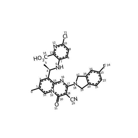 Cc1cc([C@@H](C)Nc2ccc(Cl)nc2C(=O)O)c2nc(N3Cc4ccc(F)cc4C3)c(C#N)c(=O)n2c1